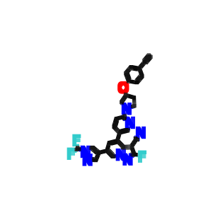 C#Cc1ccc(OC2CCN(c3ccc(-c4cc(-c5cnn(C(F)F)c5)cn5nc(F)c(C#N)c45)cn3)C2)cc1